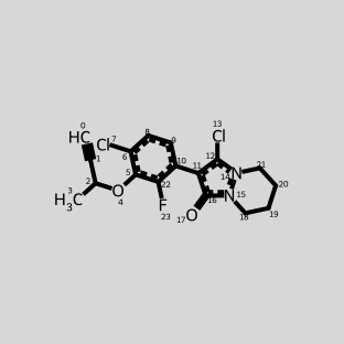 C#CC(C)Oc1c(Cl)ccc(-c2c(Cl)n3n(c2=O)CCCC3)c1F